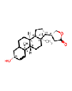 C[C@]12CC[C@H]3[C@@H](CCC4C[C@@H](O)C=C[C@@]43C)[C@H]1CC[C@@H]2[C@@H]1COC(=O)C1